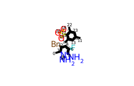 Cc1c(Br)cc(F)c(N)[n+]1N.Cc1cc(C)c(S(=O)(=O)[O-])c(C)c1